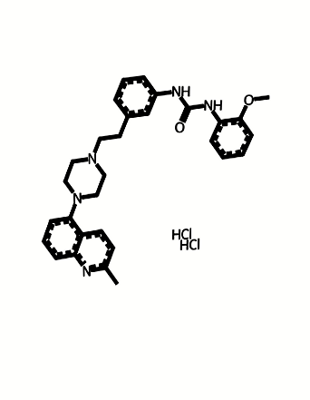 COc1ccccc1NC(=O)Nc1cccc(CCN2CCN(c3cccc4nc(C)ccc34)CC2)c1.Cl.Cl